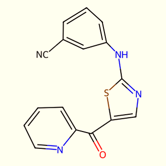 N#Cc1cccc(Nc2ncc(C(=O)c3ccccn3)s2)c1